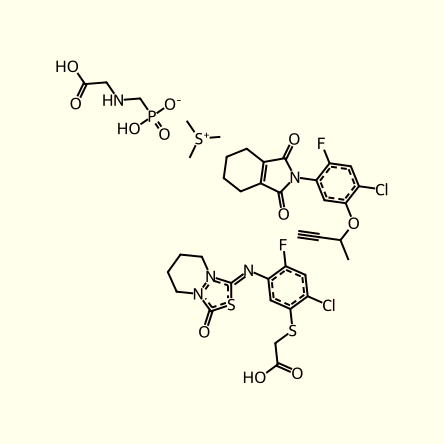 C#CC(C)Oc1cc(N2C(=O)C3=C(CCCC3)C2=O)c(F)cc1Cl.C[S+](C)C.O=C(O)CNCP(=O)([O-])O.O=C(O)CSc1cc(N=c2sc(=O)n3n2CCCC3)c(F)cc1Cl